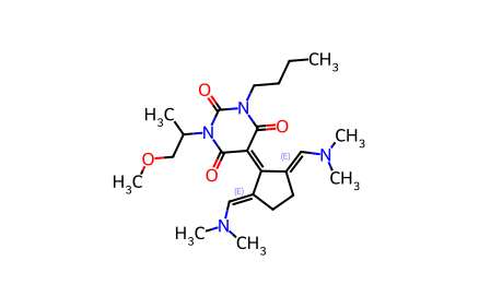 CCCCN1C(=O)C(=C2/C(=C/N(C)C)CC/C2=C\N(C)C)C(=O)N(C(C)COC)C1=O